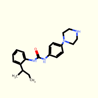 CCC(C)c1ccccc1NC(=O)Nc1ccc(N2CCNCC2)cc1